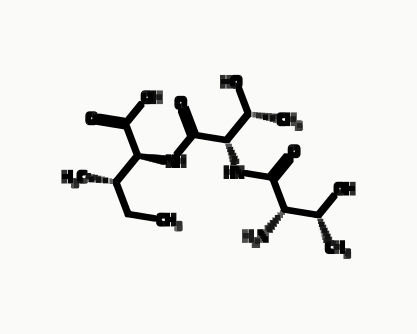 CC[C@H](C)[C@H](NC(=O)[C@@H](NC(=O)[C@@H](N)[C@@H](C)O)[C@@H](C)O)C(=O)O